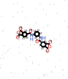 O=C1OC(=O)C2=CC(C(=O)Nc3cccc(NC(=O)c4ccc5c(c4)C(=O)OC5=O)c3)CC=C12